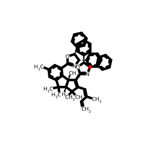 C=C/C(C)=C\C1=C(C2=N[C@@H](c3ccccc3)[C@H](c3ccccc3)O2)[C@@]2(C)c3c(C4=N[C@@H](c5ccccc5)[C@H](c5ccccc5)O4)cc(C)cc3C(C)(C)[C@H]2C1(C)C